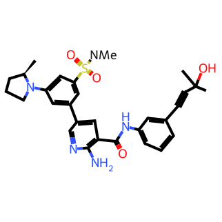 CNS(=O)(=O)c1cc(-c2cnc(N)c(C(=O)Nc3cccc(C#CC(C)(C)O)c3)c2)cc(N2CCC[C@H]2C)c1